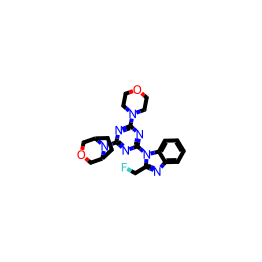 FCc1nc2ccccc2n1-c1nc(N2CCOCC2)nc(N2C3CCC2COC3)n1